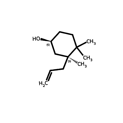 C=CC[C@@]1(C)C[C@@H](O)CCC1(C)C